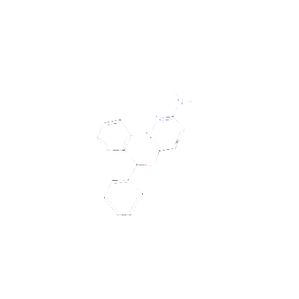 O=[N+]([O-])c1ccc(OC(c2ccccc2)c2ccccc2)nn1